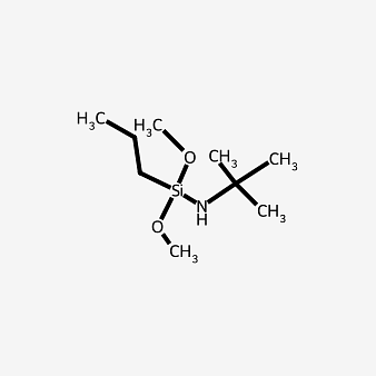 CCC[Si](NC(C)(C)C)(OC)OC